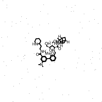 COc1c(CN2O[C@@H](CO)[C@H]([C@H](C)O)[C@H]2C(=O)N[C@H]2C[C@H]3C[C@@H]([C@@H]2C)C3(C)C)cccc1-c1cc(C(=O)NCCC2CCCCN2)cc(N(C)C)c1